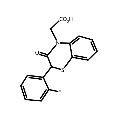 O=C(O)CN1C(=O)C(c2ccccc2F)Sc2ccccc21